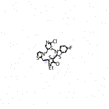 CCn1c(=O)/c(=C2\Sc3cc(F)ccc3N2C)s/c1=C\c1scc[n+]1Cc1cnc(Cl)s1